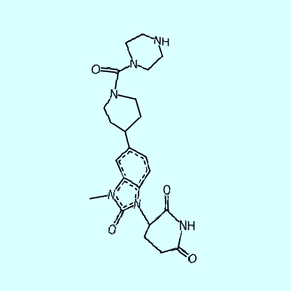 Cn1c(=O)n(C2CCC(=O)NC2=O)c2ccc(C3CCN(C(=O)N4CCNCC4)CC3)cc21